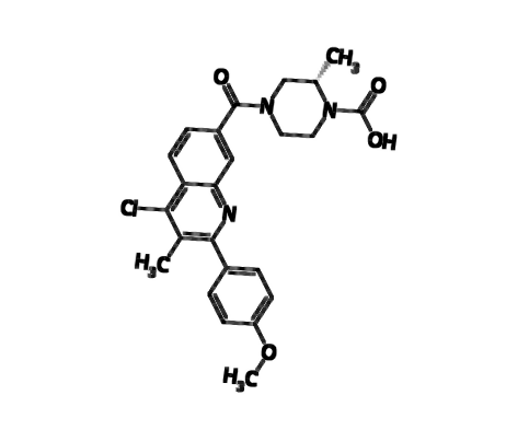 COc1ccc(-c2nc3cc(C(=O)N4CCN(C(=O)O)[C@@H](C)C4)ccc3c(Cl)c2C)cc1